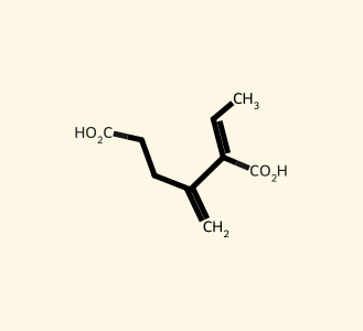 C=C(CCC(=O)O)C(=CC)C(=O)O